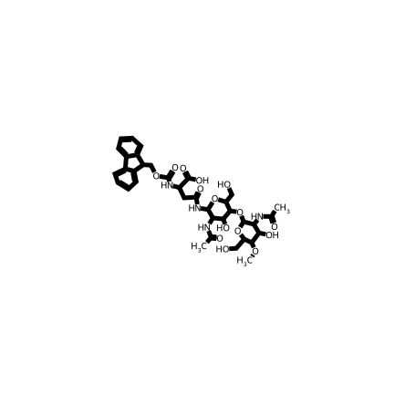 COC1C(CO)OC(OC2C(CO)OC(NC(=O)CC(NC(=O)OCC3c4ccccc4-c4ccccc43)C(=O)O)C(NC(C)=O)C2O)C(NC(C)=O)C1O